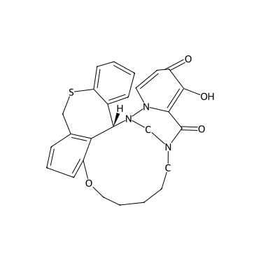 O=C1c2c(O)c(=O)ccn2N2CN1CCCCCOc1cccc3c1[C@@H]2c1ccccc1SC3